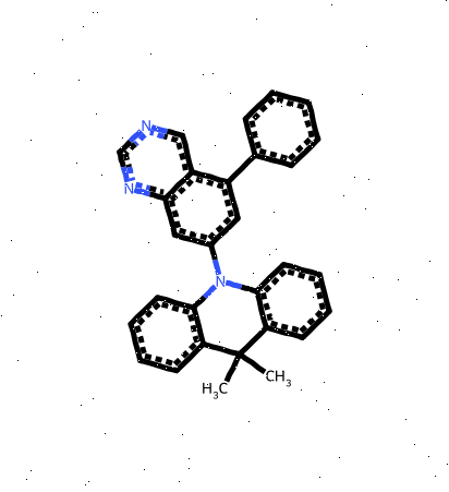 CC1(C)c2ccccc2N(c2cc(-c3ccccc3)c3cncnc3c2)c2ccccc21